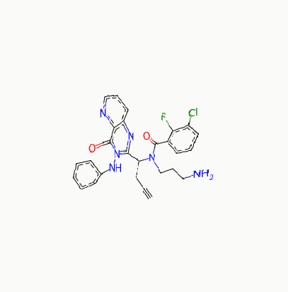 C#CCC(c1nc2cccnc2c(=O)n1Nc1ccccc1)N(CCCN)C(=O)c1cccc(Cl)c1F